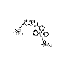 CCCCCCC/C(=C/CCO[Si](C)(C)C(C)(C)C)CCCCCC(C)c1cccc([PH](CCCO[Si](C)(C)C(C)(C)C)(c2ccccc2)c2ccccc2)c1